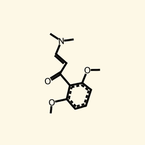 COc1cccc(OC)c1C(=O)C=CN(C)C